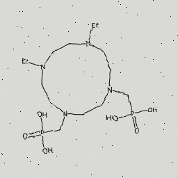 CCN1CCN(CC)CCN(CP(=O)(O)O)CCN(CP(=O)(O)O)CC1